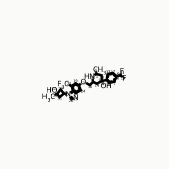 CC1CC(O)(c2ccc(C(F)F)cc2)CC(COc2cc(C(F)(F)F)c3c(c2)ncn3C2CC(C)(O)C2)N1